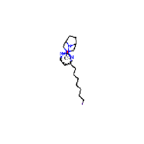 CN1CC2CCC(C1)N2c1nccc(CCCCCCCI)n1